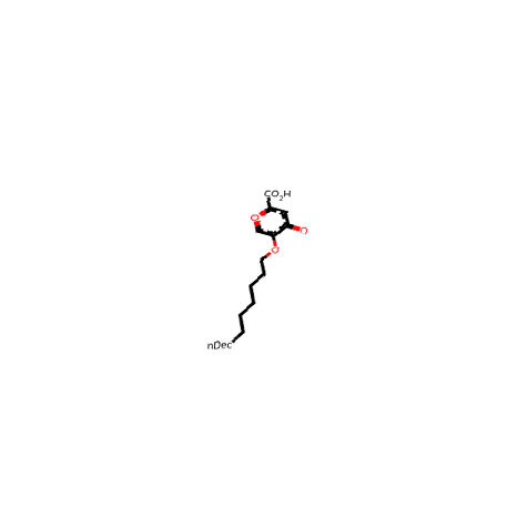 CCCCCCCCCCCCCCCCOc1coc(C(=O)O)cc1=O